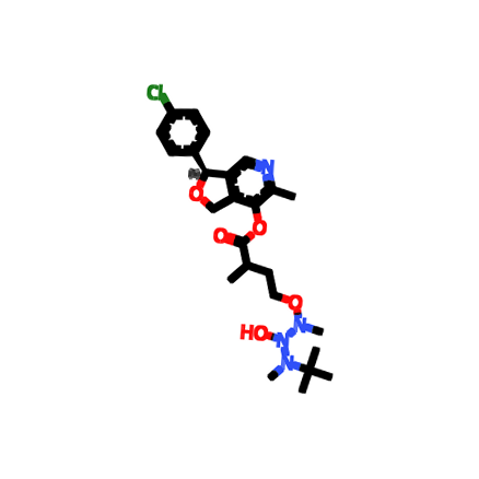 Cc1ncc2c(c1OC(=O)C(C)CCON(C)N(O)N(C)C(C)(C)C)CO[C@H]2c1ccc(Cl)cc1